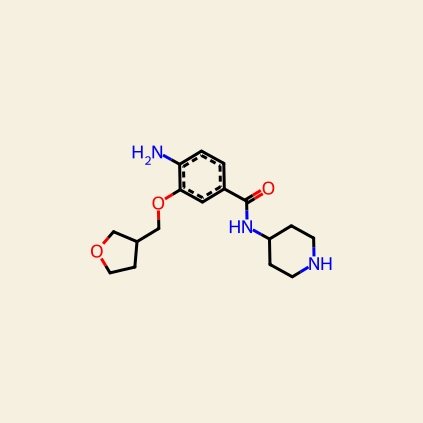 Nc1ccc(C(=O)NC2CCNCC2)cc1OCC1CCOC1